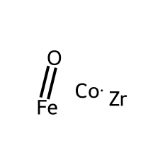 [Co].[O]=[Fe].[Zr]